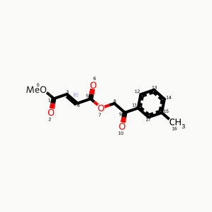 COC(=O)/C=C/C(=O)OCC(=O)c1cccc(C)c1